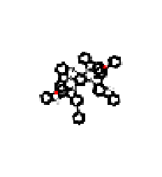 N#Cc1c(-n2c3ccccc3c3ccccc32)c(-n2c3ccc(-c4ccccc4)cc3c3c4oc5ccccc5c4ccc32)cc(-n2c3ccc(-c4ccccc4)cc3c3c4oc5ccccc5c4ccc32)c1-n1c2ccccc2c2ccccc21